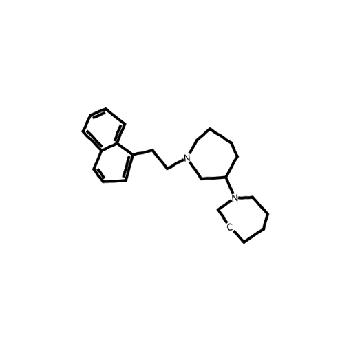 c1ccc2c(CCN3CCCCC(N4CCCCCC4)C3)cccc2c1